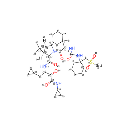 CC1([C@H](NC(=O)NC2(CS(=O)(=O)C(C)(C)C)CCCCC2)C(=O)N2C[C@H]3[C@@H]([C@H]2C(=O)NC(CC2CC2)C(=O)C(=O)NC2CC2)C3(C)C)CCCCC1